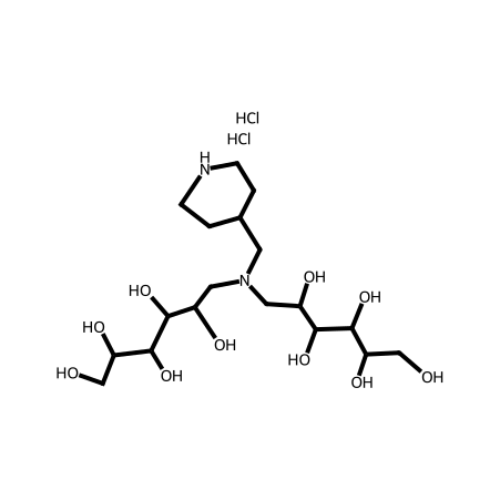 Cl.Cl.OCC(O)C(O)C(O)C(O)CN(CC1CCNCC1)CC(O)C(O)C(O)C(O)CO